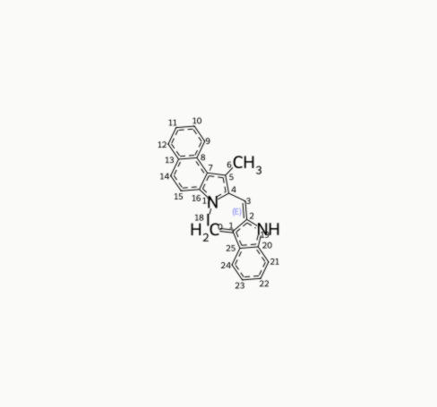 C=c1/c(=C\c2c(C)c3c4ccccc4ccc3n2I)[nH]c2ccccc12